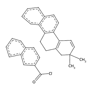 CC1(C)C=CC2=C(CCc3c2ccc2ccccc32)C1.O=C(Cl)c1ccc2ccccc2c1